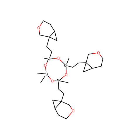 C[Si]1(C)O[Si](C)(CCC23COCCC2C3)O[Si](C)(CCC23COCCC2C3)O[Si](C)(CCC23COCCC2C3)O1